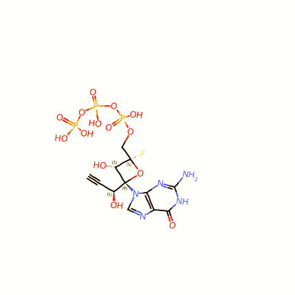 C#C[C@H](O)[C@@]1(n2cnc3c(=O)[nH]c(N)nc32)O[C@](F)(COP(=O)(O)OP(=O)(O)OP(=O)(O)O)[C@H]1O